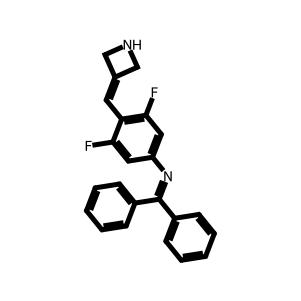 Fc1cc(N=C(c2ccccc2)c2ccccc2)cc(F)c1C=C1CNC1